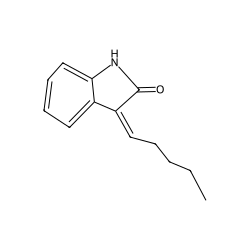 CCCCC=C1C(=O)Nc2ccccc21